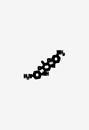 CC1=C(O)/C(=N\c2ccc(N)cc2)C=C(Nc2ccc(N)cc2)C1=O